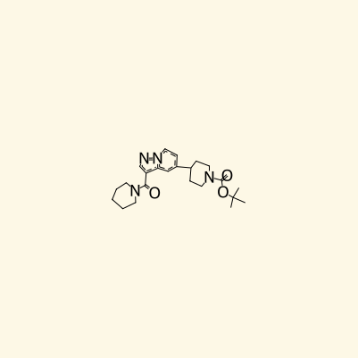 CC(C)(C)OC(=O)N1CCC(c2ccn3ncc(C(=O)N4CCCCC4)c3c2)CC1